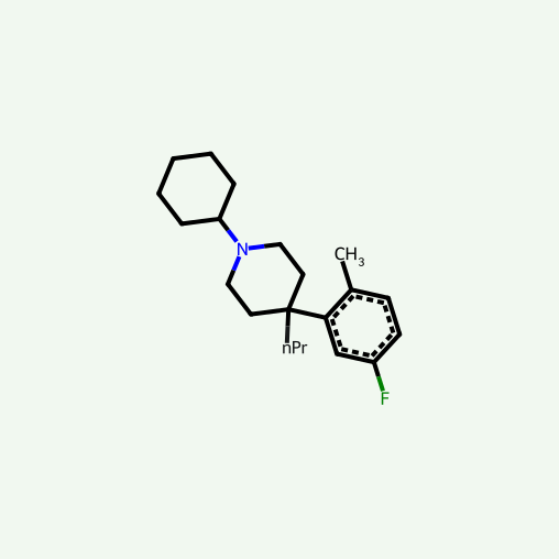 CCCC1(c2cc(F)ccc2C)CCN(C2CCCCC2)CC1